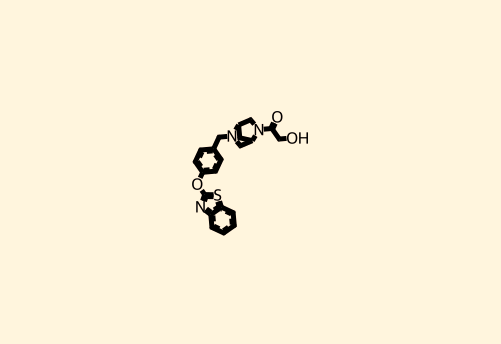 O=C(CO)N1CC2CC1CN2Cc1ccc(Oc2nc3ccccc3s2)cc1